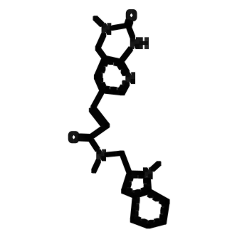 CN(Cc1cc2ccccc2n1C)C(=O)/C=C/c1cnc2c(c1)CN(C)C(=O)N2